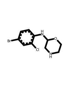 Clc1cc(Br)ccc1NC1CNCCO1